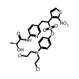 C[C@H](O)C(=O)Nc1ccc(CC(c2ccsc2[N+](=O)[O-])S(=O)(=O)Oc2ccc(N(CCCl)CCCl)cc2)cn1